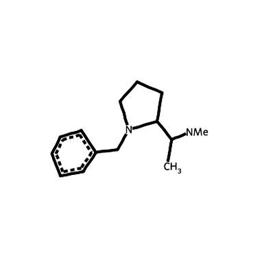 CNC(C)C1CCCN1Cc1ccccc1